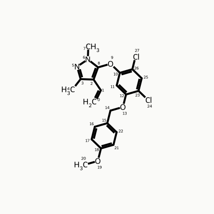 C=Cc1c(C)nn(C)c1Oc1cc(OCc2ccc(OC)cc2)c(Cl)cc1Cl